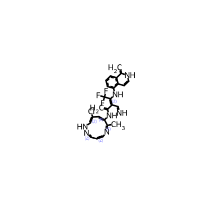 C=C(NC1=C/C(Cl)=C/N/N=C\C=C/N=C\1C)/C(C=N)=C(/Nc1cccc2c1C=CNC2=C)C(F)(F)F